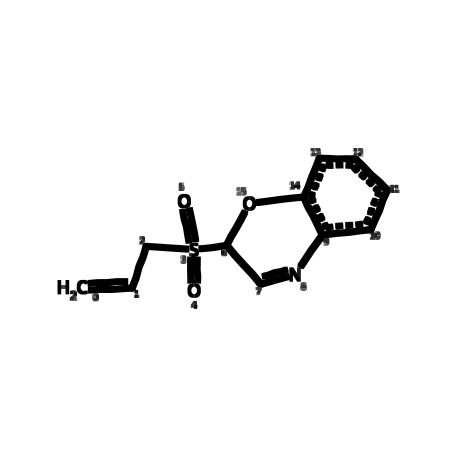 C=CCS(=O)(=O)C1C=Nc2ccccc2O1